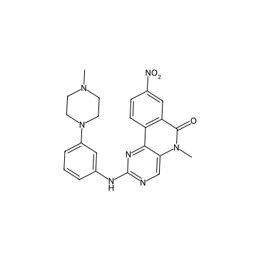 CN1CCN(c2cccc(Nc3ncc4c(n3)c3ccc([N+](=O)[O-])cc3c(=O)n4C)c2)CC1